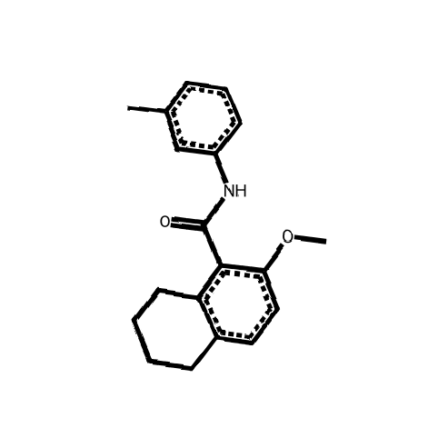 COc1ccc2c(c1C(=O)Nc1cccc(C)c1)CCCC2